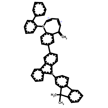 C=C1/C=C\C=C/N(c2ccccc2-c2ccccc2)c2ccc(-c3ccc4c(c3)c3ccccc3n4-c3ccc4c(c3)C(C)(C)c3ccccc3-4)cc21